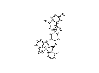 Cc1cccc2c1N(CC1CCC(NC(=O)c3cc(Cl)cnc3C(F)F)CC1)C(=O)C2(O)c1ccccc1F